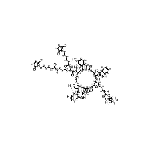 CC=C(N[C@H](C(N)=O)[C@@H](C)O)[C@@H]1CSSC[C@H](NC(=O)[C@@H](CCCCNC(=O)CCCCCN2C(=O)C=CC2=O)NC(=O)CCCCCN2C(=O)C=CC2=O)C(=O)N[C@@H](Cc2ccc(O)cc2)C(=O)N[C@H](Cc2c[nH]c3ccccc23)C(=O)N[C@@H](CCCCNC(=O)OC(C)(C)C)C(=O)N[C@@H](CC)C(=O)N1